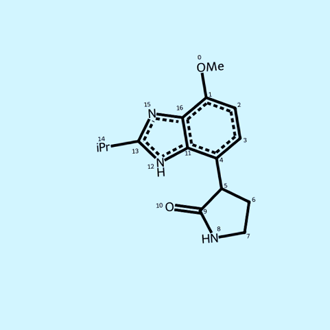 COc1ccc(C2CCNC2=O)c2[nH]c(C(C)C)nc12